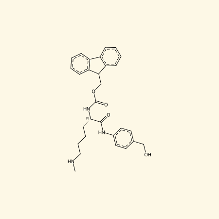 CNCCCC[C@H](NC(=O)OCC1c2ccccc2-c2ccccc21)C(=O)Nc1ccc(CO)cc1